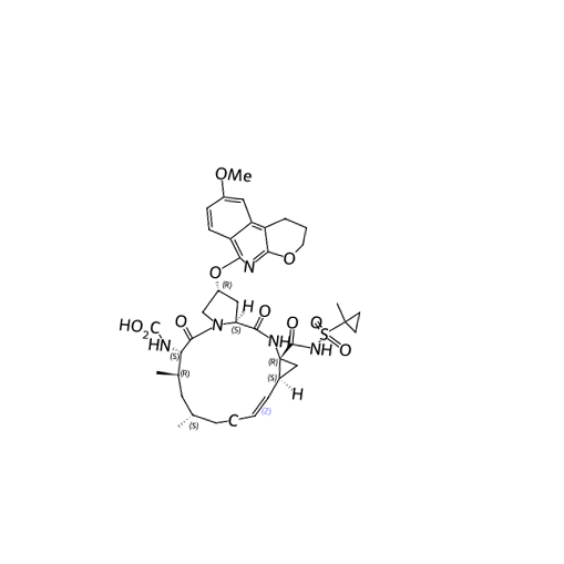 COc1ccc2c(O[C@@H]3C[C@H]4C(=O)N[C@]5(C(=O)NS(=O)(=O)C6(C)CC6)C[C@H]5/C=C\CC[C@H](C)C[C@@H](C)[C@H](NC(=O)O)C(=O)N4C3)nc3c(c2c1)CCCO3